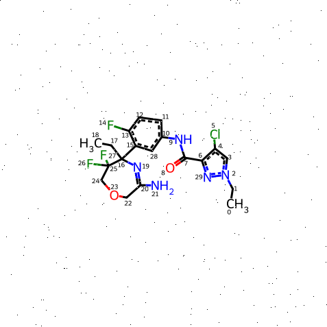 CCn1cc(Cl)c(C(=O)Nc2ccc(F)c(C3(CC)N=C(N)COCC3(F)F)c2)n1